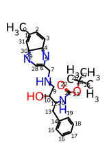 Cc1ccc2nc(CNC[C@H](O)[C@H](Cc3ccccc3)NC(=O)OC(C)(C)C)cnc2c1